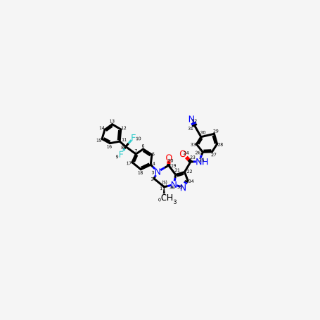 C[C@H]1CN(c2ccc(C(F)(F)c3ccccc3)cc2)C(=O)c2c(C(=O)Nc3cccc(C#N)c3)cnn21